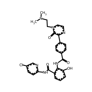 CN(C)CCn1ccnc(-c2ccc(C(=O)Nc3c(O)cccc3C(=O)Nc3ccc(Cl)cn3)cc2)c1=O